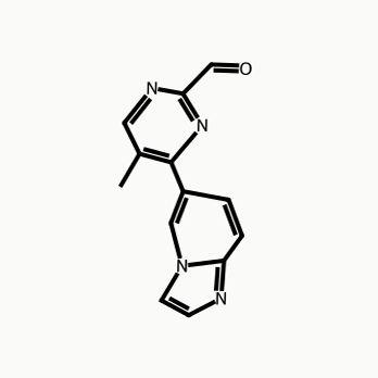 Cc1cnc(C=O)nc1-c1ccc2nccn2c1